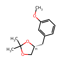 COc1cccc(C[C@@H]2COC(C)(C)O2)c1